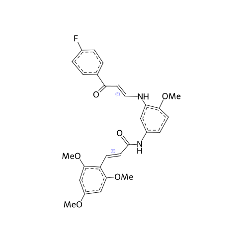 COc1cc(OC)c(/C=C/C(=O)Nc2ccc(OC)c(N/C=C/C(=O)c3ccc(F)cc3)c2)c(OC)c1